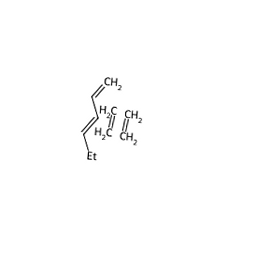 C=C.C=C.C=CC=CCC